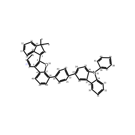 C/C=C\c1c(C2=CC(C)(C)c3ccccc32)oc2c(-c3ccc(-c4ccc5c(c4)c4ccccc4n5-c4ccccc4)cc3)cccc12